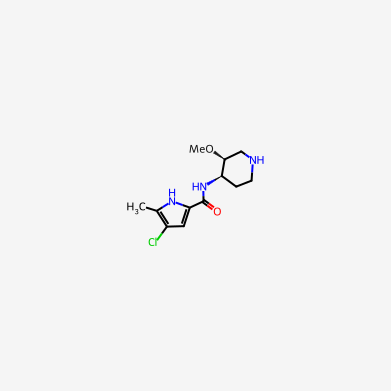 CO[C@H]1CNCC[C@H]1NC(=O)c1cc(Cl)c(C)[nH]1